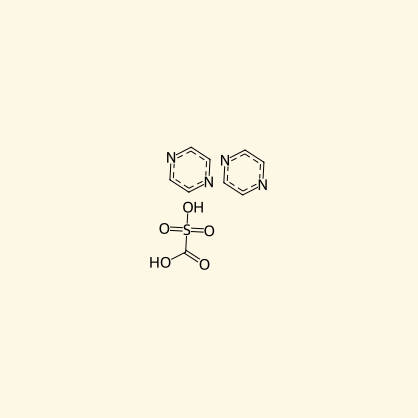 O=C(O)S(=O)(=O)O.c1cnccn1.c1cnccn1